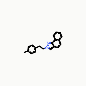 Cc1ccc(CCn2cc3ccc4ccccc4c3n2)cc1